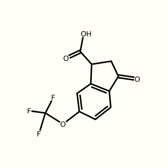 O=C1CC(C(=O)O)c2cc(OC(F)(F)F)ccc21